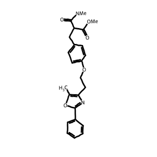 CNC(=O)C(Cc1ccc(OCCc2nc(-c3ccccc3)oc2C)cc1)C(=O)OC